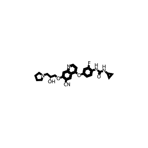 N#Cc1cc2c(Oc3ccc(NC(=O)NC4CC4)c(F)c3)ccnc2cc1OC[C@H](O)CN1CCCC1